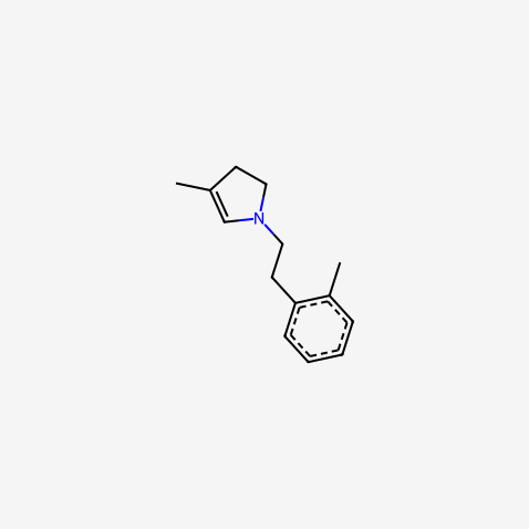 CC1=CN(CCc2ccccc2C)CC1